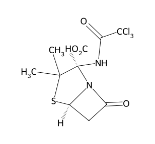 CC1(C)S[C@@H]2CC(=O)N2[C@@]1(NC(=O)C(Cl)(Cl)Cl)C(=O)O